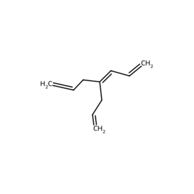 C=CC=C(CC=C)CC=C